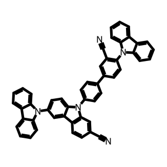 N#Cc1ccc2c3cc(-n4c5ccccc5c5ccccc54)ccc3n(-c3ccc(-c4ccc(-n5c6ccccc6c6ccccc65)c(C#N)c4)cc3)c2c1